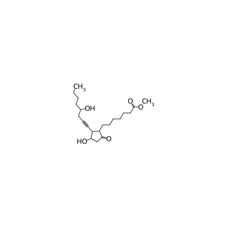 CCCCC(O)CC#CC1C(O)CC(=O)C1CCCCCCC(=O)OC